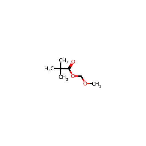 COCOC(=O)C(C)(C)C